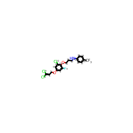 Fc1cc(OCC=C(Cl)Cl)cc(Cl)c1OCCCNc1ccc(C(F)(F)F)cc1